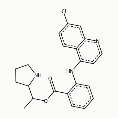 CC(OC(=O)c1ccccc1Nc1ccnc2cc(Cl)ccc12)C1CCCN1